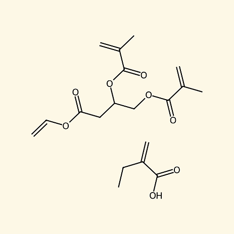 C=C(CC)C(=O)O.C=COC(=O)CC(COC(=O)C(=C)C)OC(=O)C(=C)C